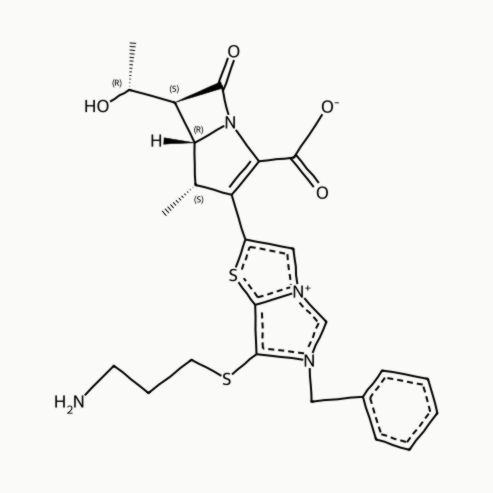 C[C@@H](O)[C@H]1C(=O)N2C(C(=O)[O-])=C(c3c[n+]4cn(Cc5ccccc5)c(SCCCN)c4s3)[C@H](C)[C@H]12